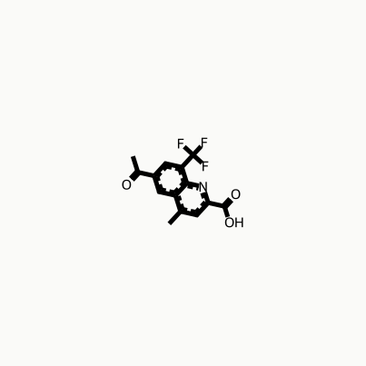 CC(=O)c1cc(C(F)(F)F)c2nc(C(=O)O)cc(C)c2c1